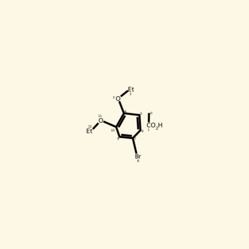 CC(=O)O.CCOc1ccc(Br)cc1OCC